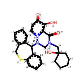 O=C1c2c(O)c(=O)ccn2N(C2c3ccccc3CSc3ccccc32)CN1CC1(O)CCCCC1